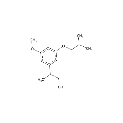 COc1cc(OCC(C)C)cc([C](C)CO)c1